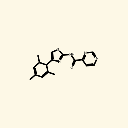 CC1=CC(C)C(c2csc(NC(=O)c3ccncn3)n2)C(C)=C1